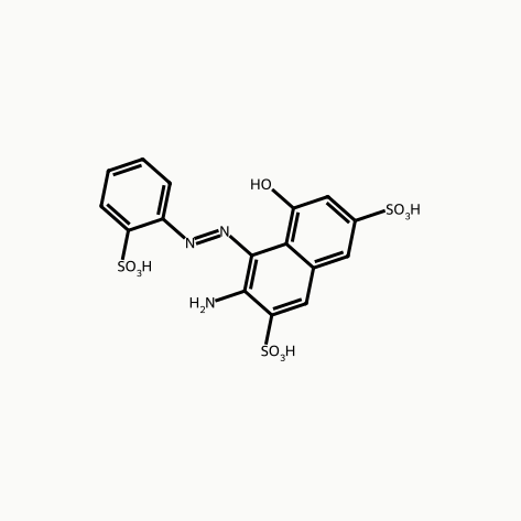 Nc1c(S(=O)(=O)O)cc2cc(S(=O)(=O)O)cc(O)c2c1/N=N/c1ccccc1S(=O)(=O)O